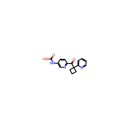 O=C(O)Nc1ccc(C(=O)C2(c3ccccn3)CCC2)nc1